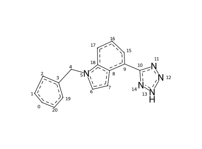 c1ccc(Cn2ccc3c(-c4nn[nH]n4)cccc32)cc1